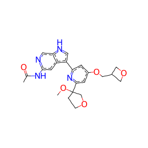 COC1(c2cc(OCC3COC3)cc(-c3c[nH]c4cnc(NC(C)=O)cc34)n2)CCOC1